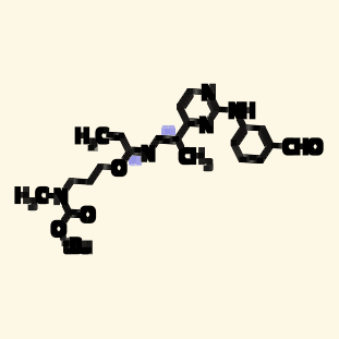 C=C/C(=N\C=C(/C)c1ccnc(Nc2cccc(C=O)c2)n1)OCCCN(C)C(=O)OC(C)(C)C